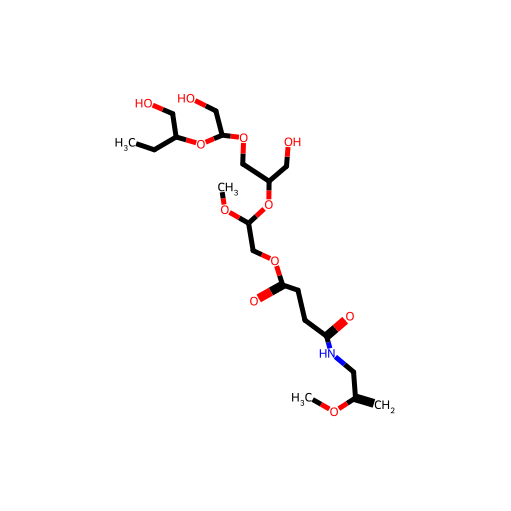 C=C(CNC(=O)CCC(=O)OCC(OC)OC(CO)COC(CO)OC(CC)CO)OC